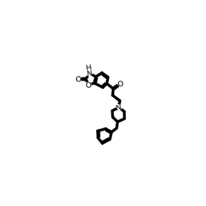 O=C(CCN1CCC(Cc2ccccc2)CC1)c1ccc2[nH]c(=O)oc2c1